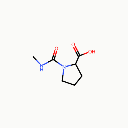 CNC(=O)N1CCCC1C(=O)O